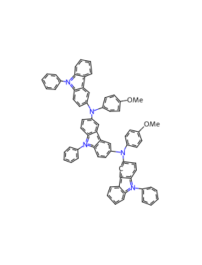 COc1ccc(N(c2ccc3c(c2)c2ccccc2n3-c2ccccc2)c2ccc3c(c2)c2cc(N(c4ccc(OC)cc4)c4ccc5c(c4)c4ccccc4n5-c4ccccc4)ccc2n3-c2ccccc2)cc1